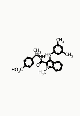 Cc1cc(C)cc(Nc2c(C(=O)N[C@@H](C)c3ccc(C(=O)O)cc3)n(C)c3ccccc23)c1